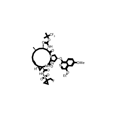 CCOc1cnc(O[C@@H]2C[C@H]3C(=O)N[C@]4(C(=O)NS(=O)(=O)C5(CF)CC5)C[C@H]4/C=C\CC[C@@H](C)C[C@@H](C)[C@H](NC(=O)OC(C)(C)C(F)(F)F)C(=O)N3C2)c2ccc(OC)cc12